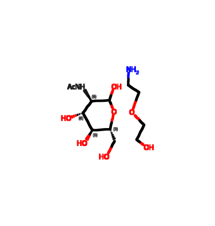 CC(=O)N[C@H]1C(O)O[C@H](CO)[C@@H](O)[C@@H]1O.NCCOCCO